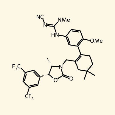 CN/C(=N\C#N)Nc1ccc(OC)c(C2=C(CN3C(=O)O[C@H](c4cc(C(F)(F)F)cc(C(F)(F)F)c4)[C@@H]3C)CC(C)(C)CC2)c1